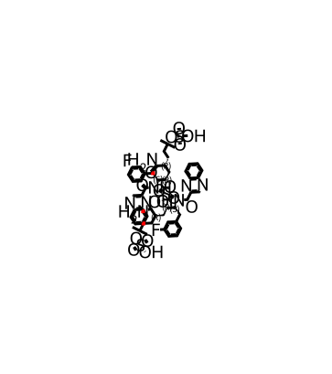 CC(C)(CC[C@H](C[C@@H](OS(=O)(=O)O[C@H](C[C@@H](CCC(C)(C)OS(=O)(=O)O)C(N)=O)[C@H](Cc1cccc(F)c1)NC(=O)c1cnc2ccccc2n1)[C@H](Cc1cccc(F)c1)NC(=O)c1cnc2ccccc2n1)C(N)=O)OS(=O)(=O)O